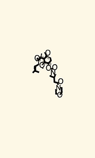 CO[C@H]1C([C@@]2(C)O[C@@H]2CC=C(C)C)[C@]2(CC[C@H]1OC(=O)N1CC(CC(=O)N3CCOCC3)C1)CO2